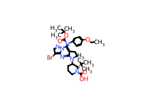 CCOc1ccc(N(C(=O)OC(C)(C)C)c2c3c(nc4c(Br)cnn24)N(C2CCCN(C(=O)O)[C@H]2C(C)(C)C)CC3)cc1